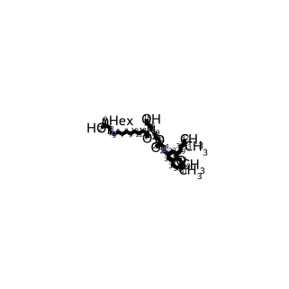 CCCCCC[C@H](O)C/C=C\CCCCCCCC(=O)N(CCO)CCOC(=O)/C=C/c1cc(CC=C(C)C)c2c(c1)CCC(C)(C)O2